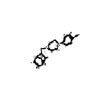 Cc1ccc(N2CCN(CC3CC4C=CC3C4)CC2)cc1